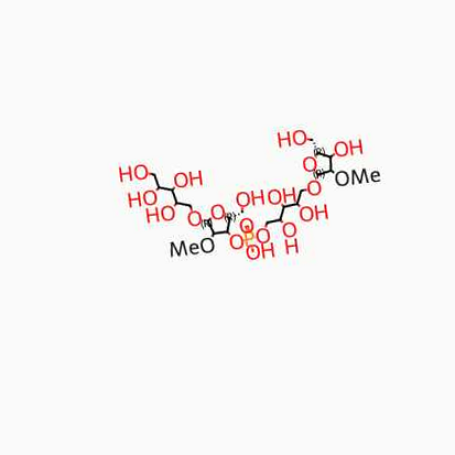 COC1C(O)[C@@H](CO)O[C@H]1OCC(O)C(O)C(O)COP(=O)(O)OC1C(OC)[C@H](OCC(O)C(O)C(O)CO)O[C@@H]1CO